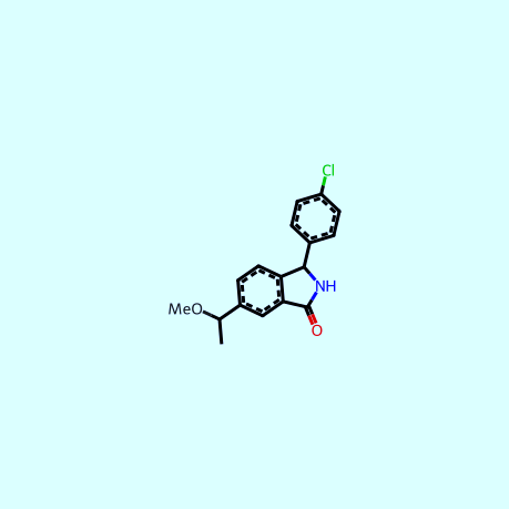 COC(C)c1ccc2c(c1)C(=O)NC2c1ccc(Cl)cc1